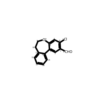 O=Cc1cc2c(cc1Cl)OCCc1ccccc1-2